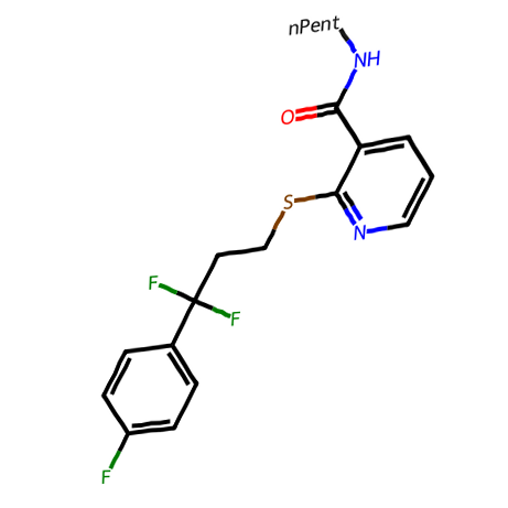 CCCCCNC(=O)c1cccnc1SCCC(F)(F)c1ccc(F)cc1